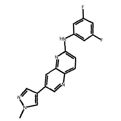 Cn1cc(-c2cnc3ccc(Nc4cc(F)cc(F)c4)nc3c2)cn1